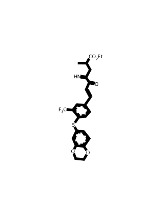 CCOC(=O)C(C)CC(=N)C(=O)/C=C/c1ccc(Sc2ccc3c(c2)OCCO3)c(C(F)(F)F)c1